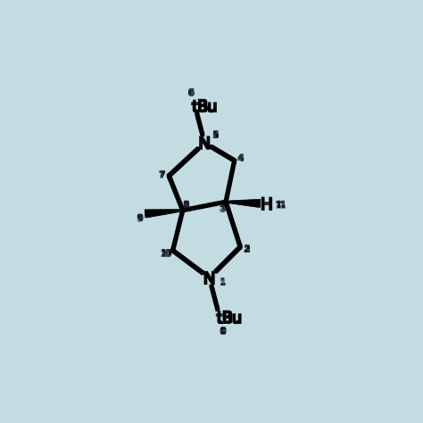 CC(C)(C)N1C[C@H]2CN(C(C)(C)C)C[C@@]2(C)C1